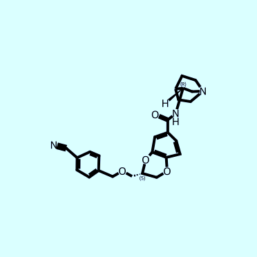 N#Cc1ccc(COC[C@H]2COc3ccc(C(=O)N[C@H]4CN5CCC4CC5)cc3O2)cc1